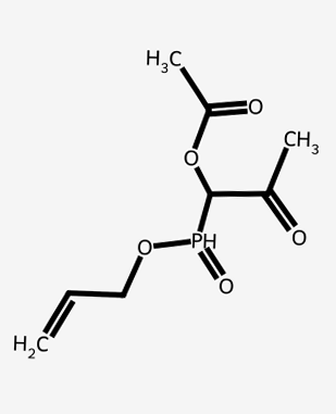 C=CCO[PH](=O)C(OC(C)=O)C(C)=O